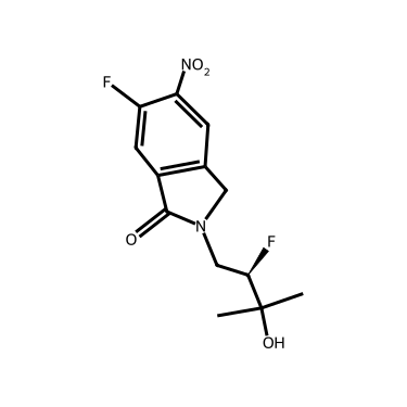 CC(C)(O)[C@H](F)CN1Cc2cc([N+](=O)[O-])c(F)cc2C1=O